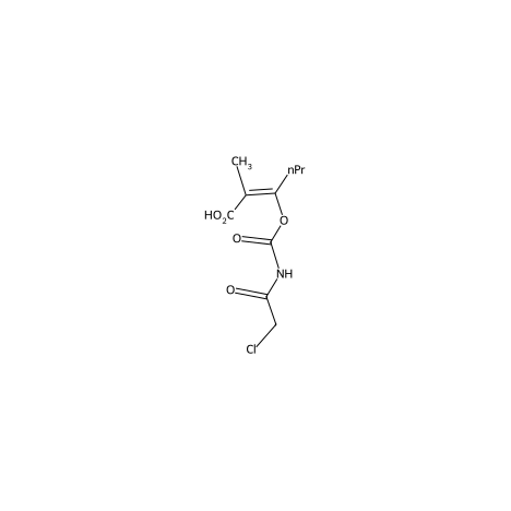 CCCC(OC(=O)NC(=O)CCl)=C(C)C(=O)O